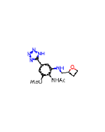 COc1cc(-c2nnn[nH]2)cc(NCC2CCO2)c1NC(C)=O